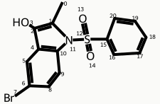 Cc1c(O)c2cc(Br)ccc2n1S(=O)(=O)c1ccccc1